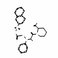 CC(C(=O)N1CCCCC1C(=O)O)N(NC(=N)NS(=O)(=O)c1ccc2ccccc2c1)c1ccccc1